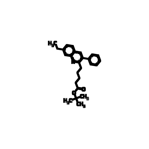 CCc1ccc2cc(-c3ccccc3)c(CCCCC(=O)OC(C)(C)C)nc2c1